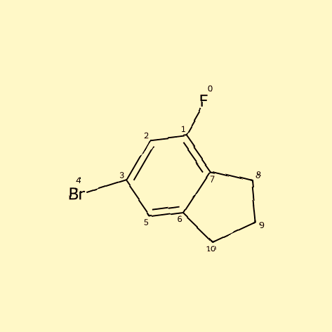 Fc1cc(Br)cc2c1CCC2